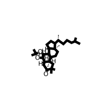 CC(C)CCC[C@@H](C)C1CC[C@H]2[C@@H]3[C@H]4OC(C)(C)O[C@@H]4[C@H]4CC(=O)C(C)(C)C[C@]4(C)[C@H]3CC[C@]12C